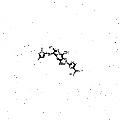 CCCCc1nc2c(/N=N/c3cc(C)n[nH]3)c(C(C)C)nn2c(O)c1/N=N/c1ncc(C(CCC)CCC)s1